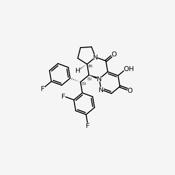 O=C1c2c(O)c(=O)cnn2[C@@H]([C@@H](c2cccc(F)c2)c2ccc(F)cc2F)[C@H]2CCCN12